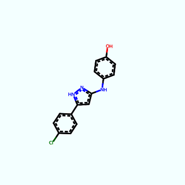 Oc1ccc(Nc2cc(-c3ccc(Cl)cc3)[nH]n2)cc1